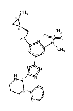 C[C@H]1C[C@@H]1CNc1cc(-c2nnc([C@H]3NCCC[C@H]3c3ccccc3)o2)cc(N(C)S(C)(=O)=O)n1